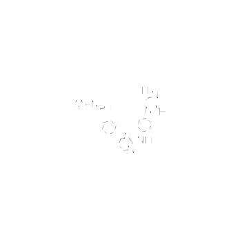 CNC(=O)Cc1ccc(-c2ccnc(Nc3ccc(N4C[C@@H]5C[C@H]4CN5C)c(C)c3)n2)cc1